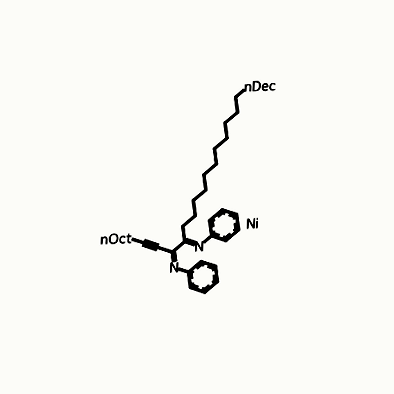 CCCCCCCCC#CC(=Nc1ccccc1)C(CCCCCCCCCCCCCCCCCCCCC)=Nc1ccccc1.[Ni]